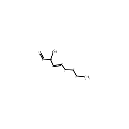 CCCCC=CC(O)C=O